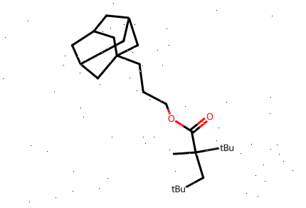 CC(C)(C)CC(C)(C(=O)OCCCC12CC3CC(CC(C3)C1)C2)C(C)(C)C